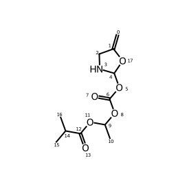 C=C1CNC(OC(=O)OC(C)OC(=O)C(C)C)O1